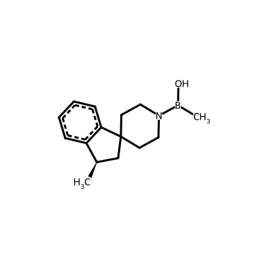 CB(O)N1CCC2(CC1)C[C@@H](C)c1ccccc12